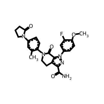 COc1ccc(-n2nc(C(N)=O)c3c2C(=O)N(c2ccc(N4CCCC4=O)cc2C)CC3)cc1F